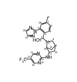 Cc1ccc(C(O)N2CC3CC(Nc4ncc(C(F)(F)F)cn4)C2C3)c(-n2nccn2)c1